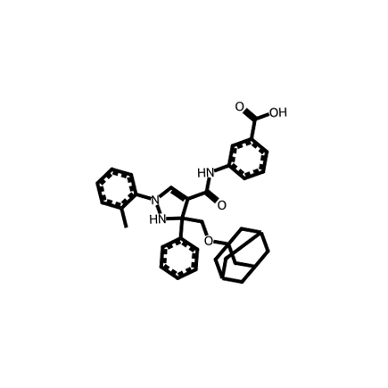 Cc1ccccc1N1C=C(C(=O)Nc2cccc(C(=O)O)c2)C(COC23CC4CC(CC(C4)C2)C3)(c2ccccc2)N1